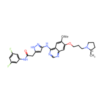 COc1cc2c(Nc3cc(CC(=O)Nc4cc(F)cc(F)c4)[nH]n3)ncnc2cc1OCCCN1CCC[C@H]1C